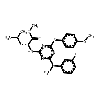 COC(=O)[C@@H](CC(C)C)Nc1nc(Sc2ccc(OC)cc2)nc(N(C)c2cccc(F)c2)n1